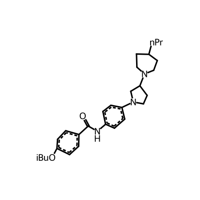 CCCC1CCN(C2CCN(c3ccc(NC(=O)c4ccc(OCC(C)C)cc4)cc3)C2)CC1